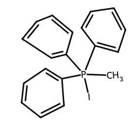 CP(I)(c1ccccc1)(c1ccccc1)c1ccccc1